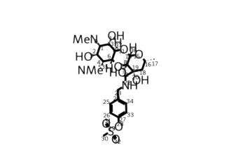 CN[C@@H]1[C@H](O)[C@H](NC)[C@H]2O[C@]3(O)[C@H](O[C@@H]2[C@H]1O)O[C@H](C)C[C@@]3(O)CNCc1ccc(OS(C)(=O)=O)cc1